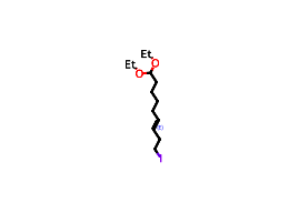 CCOC(CCCC/C=C/CCI)OCC